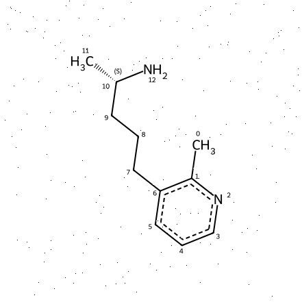 Cc1ncccc1CCC[C@H](C)N